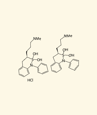 CNCCC[C@@H]1Cc2ccccc2N(c2ccccc2)S1(O)O.CNCCC[C@@H]1Cc2ccccc2N(c2ccccc2)S1(O)O.Cl